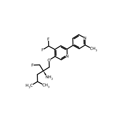 Cc1cc(-c2cc(C(F)F)c(OC[C@@](N)(CF)CC(C)C)cn2)ccn1